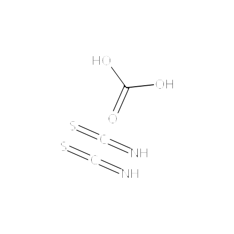 N=C=S.N=C=S.O=C(O)O